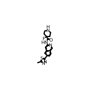 Cc1nnc(-c2ccc3cnc(NC(=O)C4(F)CCNCC4)cc3c2)s1